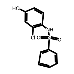 O=S(=O)(Nc1ccc(O)cc1Cl)c1ccccc1